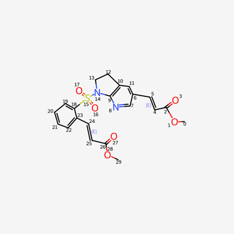 COC(=O)/C=C/c1cnc2c(c1)CCN2S(=O)(=O)c1ccccc1/C=C/C(=O)OC